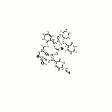 COC(=O)NC(C(=O)Nc1ccccc1CC[C@@H]1CN[C@H](C)[C@@H](COc2ccc(C#N)cc2)O1)C(c1ccccc1)c1ccccc1